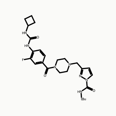 CC(C)(C)NC(=O)n1ccc(CN2CCN(C(=O)c3ccc(NC(=O)NC4CCC4)c(F)c3)CC2)n1